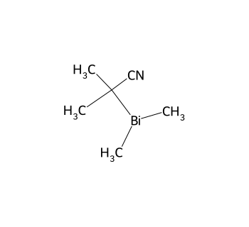 [CH3][Bi]([CH3])[C](C)(C)C#N